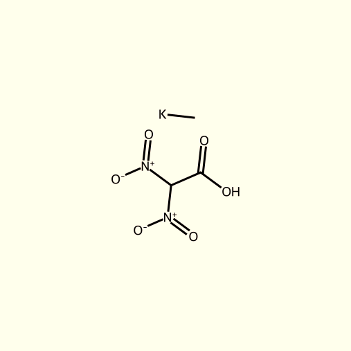 O=C(O)C([N+](=O)[O-])[N+](=O)[O-].[CH3][K]